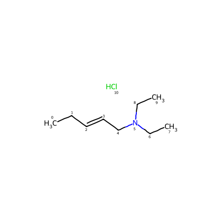 CCC=CCN(CC)CC.Cl